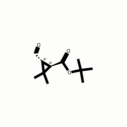 CC(C)(C)OC(=O)[C@@H]1[C@@H](C=O)C1(C)C